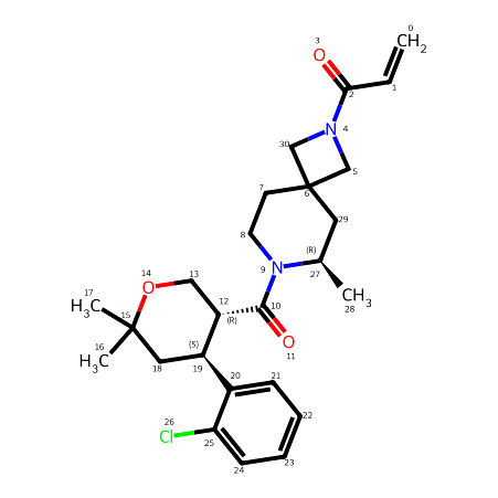 C=CC(=O)N1CC2(CCN(C(=O)[C@H]3COC(C)(C)C[C@@H]3c3ccccc3Cl)[C@H](C)C2)C1